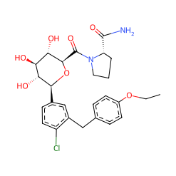 CCOc1ccc(Cc2cc([C@@H]3O[C@H](C(=O)N4CCC[C@H]4C(N)=O)[C@@H](O)[C@H](O)[C@H]3O)ccc2Cl)cc1